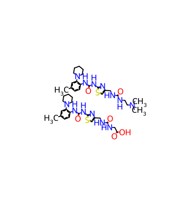 Cc1ccc(NC(=O)Nc2nc(CNC(=O)NCC(=O)O)cs2)c(N2CCCCC2)c1.Cc1ccc(NC(=O)Nc2nc(CNC(=O)NCCN(C)C)cs2)c(N2CCCCC2)c1